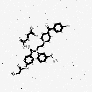 CCC(=O)Nc1ccc(C(=O)N(CCN2CCC(C(=O)c3ccc(F)cc3)CC2)c2cccc(OC)c2)cc1.O=C(O)C=CC(=O)O